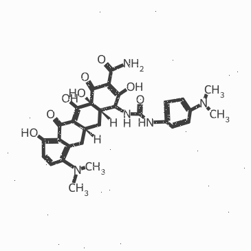 CN(C)c1ccc(NC(=O)NC2C(O)=C(C(N)=O)C(=O)[C@@]3(O)C(O)=C4C(=O)c5c(O)ccc(N(C)C)c5C[C@H]4C[C@@H]23)cc1